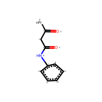 CCCC(=O)CC(=O)Nc1ccccc1